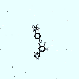 O=S(=O)(F)Oc1ccc(OCc2cc(-n3cncn3)cc(F)c2F)cc1